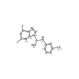 Cc1cc(C)n2ncc(C(O)Nc3cccc(C(F)(F)F)c3)c2n1